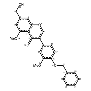 COc1cc(-c2coc3cc(CO)cc(OC)c3c2=O)ccc1OCc1ccccc1